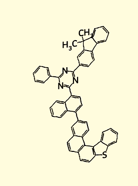 CC1(C)c2ccccc2-c2ccc(-c3nc(-c4ccccc4)nc(-c4ccc(-c5ccc6c(ccc7ccc8sc9ccccc9c8c76)c5)c5ccccc45)n3)cc21